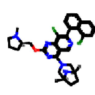 CN1C[CH]C[C@H]1COc1nc(N2C[C@H]3CC[C@@H](C2)N3)c2cnc(-c3cccc4cccc(Cl)c34)c(F)c2n1